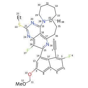 C#Cc1c(F)ccc2cc(OCOC)cc(-c3nc4c5c(nc(SCC)nc5c3F)N3CCCCC[C@H]3CC4)c12